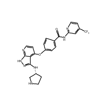 O=C(Nc1cc(C(F)(F)F)ccn1)c1ccc(Oc2ccnc3[nH]nc(N[C@@H]4CCNC4)c23)cc1